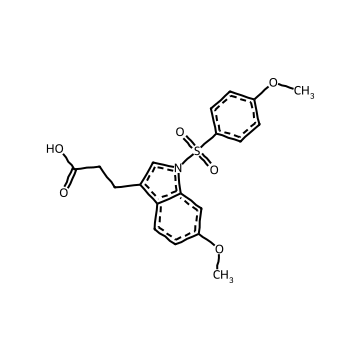 COc1ccc(S(=O)(=O)n2cc(CCC(=O)O)c3ccc(OC)cc32)cc1